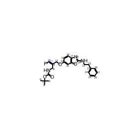 CC(C)(C)OC(=O)NC/C(=C\F)COc1ccc2nc(NCCc3ccccc3)oc2c1